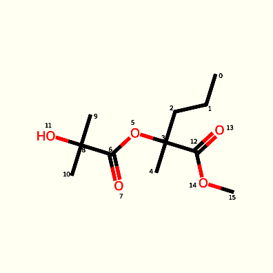 CCCC(C)(OC(=O)C(C)(C)O)C(=O)OC